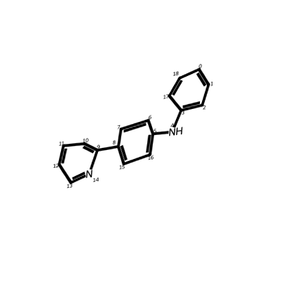 c1ccc(Nc2ccc(-c3ccccn3)cc2)cc1